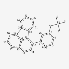 CC(C)(C)Cc1ccnc(-c2ccc3cccc4c3c2-c2ccccc2-4)c1